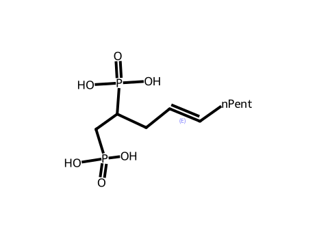 CCCCC/C=C/CC(CP(=O)(O)O)P(=O)(O)O